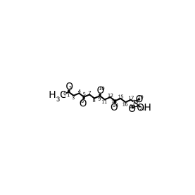 CC(=O)CCC(=O)CCC(=O)CCC(=O)CCCS(=O)(=O)O